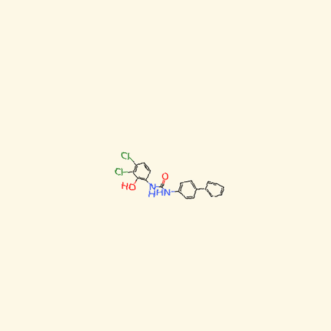 O=C(Nc1ccc(-c2ccccc2)cc1)Nc1ccc(Cl)c(Cl)c1O